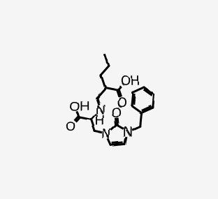 CCCC(CNC(Cn1ccn(Cc2ccccc2)c1=O)C(=O)O)C(=O)O